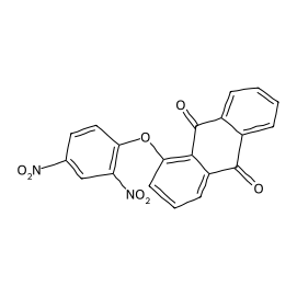 O=C1c2ccccc2C(=O)c2c(Oc3ccc([N+](=O)[O-])cc3[N+](=O)[O-])cccc21